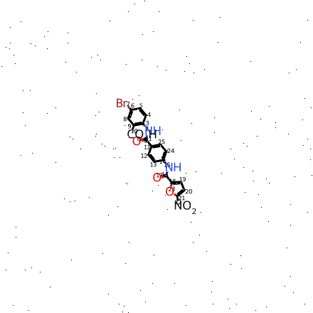 O=C(Nc1ccc(Br)cc1C(=O)O)c1ccc(NC(=O)c2ccc([N+](=O)[O-])o2)cc1